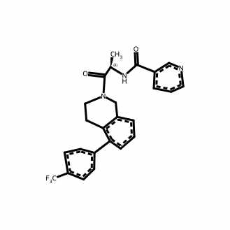 C[C@@H](NC(=O)c1cccnc1)C(=O)N1CCc2c(cccc2-c2ccc(C(F)(F)F)cc2)C1